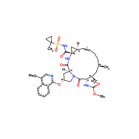 COc1cnc(O[C@@H]2C[C@H]3C(=O)N[C@]4(C(=O)NS(=O)(=O)C5(C)CC5)C[C@H]4/C=C\CC[C@@H](C)C[C@@H](C)[C@H](NC(=O)OC(C)(C)C)C(=O)N3C2)c2ccccc12